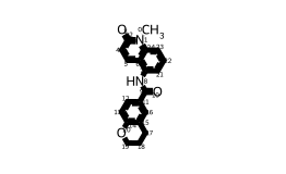 Cn1c(=O)ccc2c(NC(=O)c3ccc4c(c3)CCCO4)cccc21